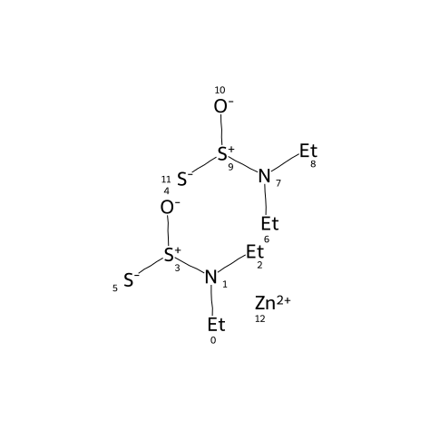 CCN(CC)[S+]([O-])[S-].CCN(CC)[S+]([O-])[S-].[Zn+2]